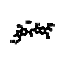 Br.CCOc1cc2c(cc1C(=O)NC)C(=N)N(CC(=O)c1cc(C(C)(C)C)c3nc(C)n(CC(=O)O)c3c1)C2